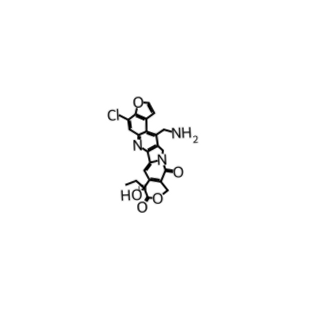 CC[C@@]1(O)C(=O)OCc2c1cc1n(c2=O)Cc2c-1nc1cc(Cl)c3occc3c1c2CN